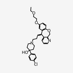 CCOCCOc1ccc2c(c1)/C(=C/CCN1CCC(O)(c3ccc(Cl)cc3)CC1)c1cccnc1CO2